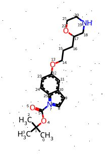 CC(C)(C)OC(=O)n1ccc2cc(OCCCC3CNCCO3)ccc21